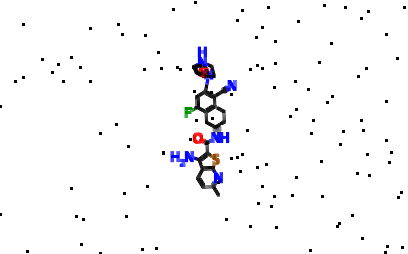 Cc1ccc2c(N)c(C(=O)N[C@H]3CCc4c(C#N)c(N5CC6COCC5CN6)cc(F)c4C3)sc2n1